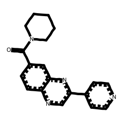 O=C(c1ccc2ncc(-c3ccncc3)nc2c1)N1CCCCC1